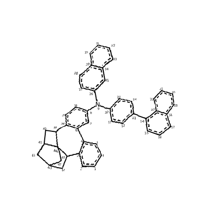 c1ccc2c(c1)-c1cc(N(c3ccc(-c4cccc5ccccc45)cc3)c3ccc4ccccc4c3)ccc1C1CC3CC4CC2C31C4